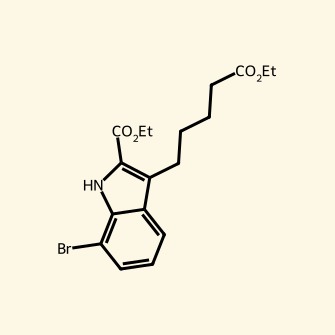 CCOC(=O)CCCCc1c(C(=O)OCC)[nH]c2c(Br)cccc12